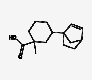 CC1(C(=O)O)CCCC(C23C=CC(CC2)C3)C1